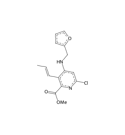 CC=Cc1c(NCc2ccco2)cc(Cl)nc1C(=O)OC